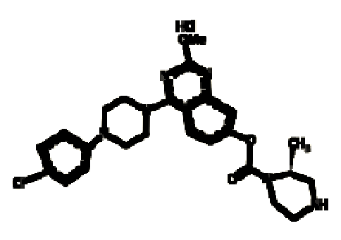 COc1nc(N2CCN(c3ccc(Cl)cc3)CC2)c2ccc(OC(=O)N3CCNC[C@H]3C)cc2n1.Cl